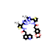 Cc1csc(NC(=O)Cc2cccc3ncccc23)c1-c1ncn[nH]1.Cc1n[nH]c(-c2sccc2NC(=O)Cc2ccc3c(c2)OCCO3)n1